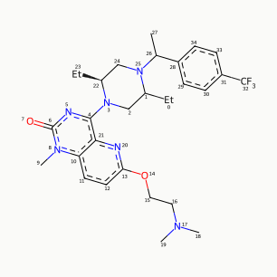 CCC1CN(c2nc(=O)n(C)c3ccc(OCCN(C)C)nc23)[C@@H](CC)CN1C(C)c1ccc(C(F)(F)F)cc1